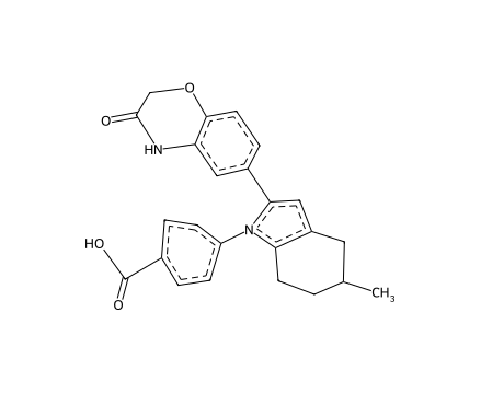 CC1CCc2c(cc(-c3ccc4c(c3)NC(=O)CO4)n2-c2ccc(C(=O)O)cc2)C1